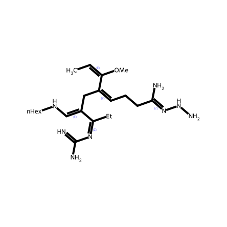 C/C=C(OC)\C(=C/CC/C(N)=N/NN)CC(=C\NCCCCCC)/C(CC)=N\C(=N)N